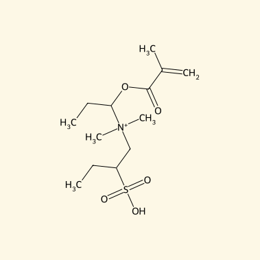 C=C(C)C(=O)OC(CC)[N+](C)(C)CC(CC)S(=O)(=O)O